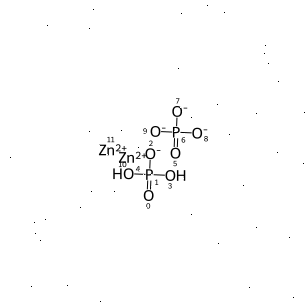 O=P([O-])(O)O.O=P([O-])([O-])[O-].[Zn+2].[Zn+2]